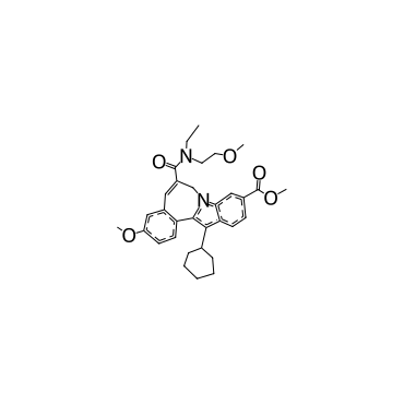 CCN(CCOC)C(=O)C1=Cc2cc(OC)ccc2-c2c(C3CCCCC3)c3ccc(C(=O)OC)cc3n2C1